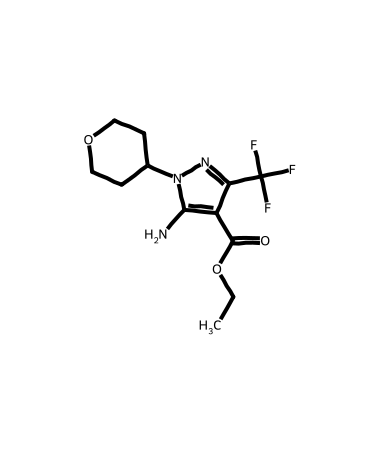 CCOC(=O)c1c(C(F)(F)F)nn(C2CCOCC2)c1N